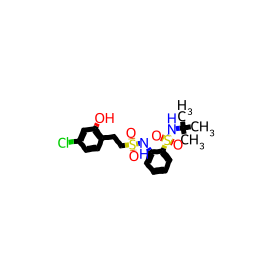 CC(C)(C)NS(=O)(=O)c1ccccc1NS(=O)(=O)CCc1ccc(Cl)cc1O